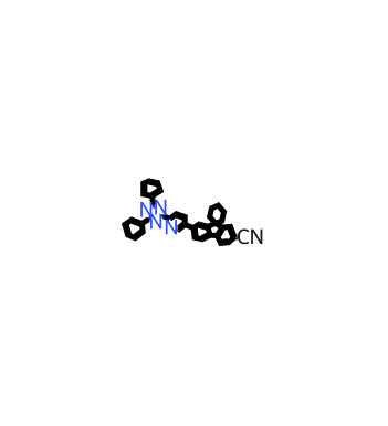 N#Cc1ccc2c(c1)C1(CCCCC1)c1cc(-c3ccc(-c4nc(-c5ccccc5)nc(-c5ccccc5)n4)nc3)ccc1-2